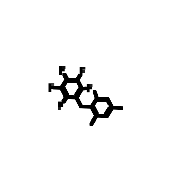 Cc1cc(C)c(Cc2c(F)c(F)c(F)c(F)c2F)c(C)c1